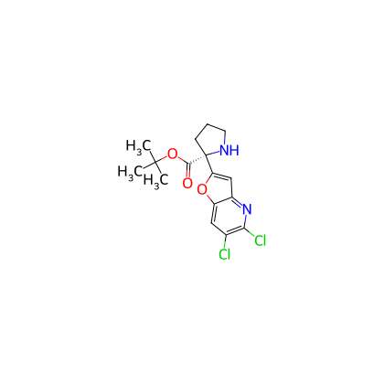 CC(C)(C)OC(=O)[C@]1(c2cc3nc(Cl)c(Cl)cc3o2)CCCN1